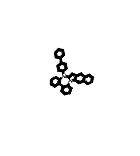 c1ccc(-c2ccc(N3c4ccccc4-c4ccccc4-n4c3cc3cc5ccccc5cc34)cc2)cc1